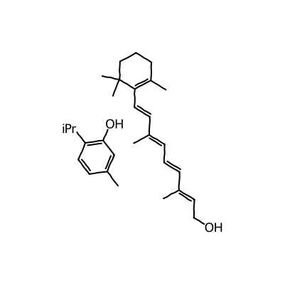 CC1=C(/C=C/C(C)=C/C=C/C(C)=C/CO)C(C)(C)CCC1.Cc1ccc(C(C)C)c(O)c1